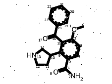 COc1ccc(C(N)=O)c(C2CCNC2)c1C(=O)c1ccccc1